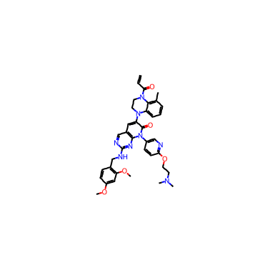 C=CC(=O)N1CCN(c2cc3cnc(NCc4ccc(OC)cc4OC)nc3n(-c3ccc(OCCN(C)C)nc3)c2=O)c2cccc(C)c21